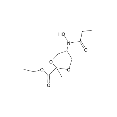 CCOC(=O)C1(C)OCC(N(O)C(=O)CC)CO1